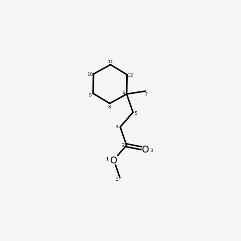 COC(=O)CCC1(C)CCCCC1